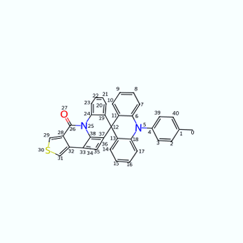 Cc1ccc(N2c3ccccc3C3(c4ccccc42)c2ccccc2-n2c(=O)c4cscc4c4cccc3c42)cc1